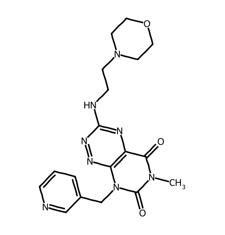 Cn1c(=O)c2nc(NCCN3CCOCC3)nnc2n(Cc2cccnc2)c1=O